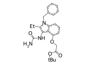 CCc1c(NC(N)=O)c2c(OCC(=O)OC(C)(C)C)cccc2n1Cc1ccccc1